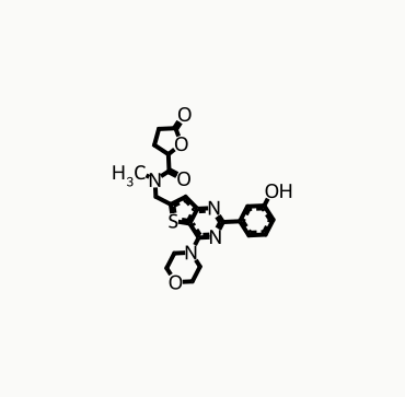 CN(Cc1cc2nc(-c3cccc(O)c3)nc(N3CCOCC3)c2s1)C(=O)C1CCC(=O)O1